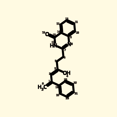 C=C(/C=C(\O)CCc1nc2ccccc2c(=O)[nH]1)c1ccccc1